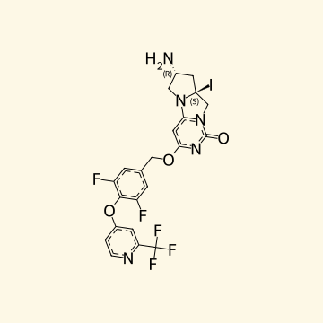 N[C@H]1CN2c3cc(OCc4cc(F)c(Oc5ccnc(C(F)(F)F)c5)c(F)c4)nc(=O)n3C[C@@]2(I)C1